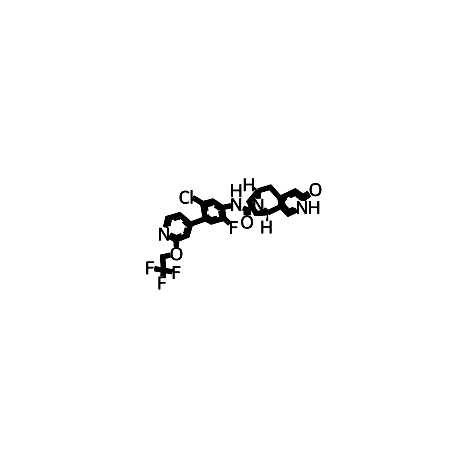 O=C(Nc1cc(Cl)c(-c2ccnc(OCC(F)(F)F)c2)cc1F)N1[C@H]2CC[C@@H]1c1c[nH]c(=O)cc1C2